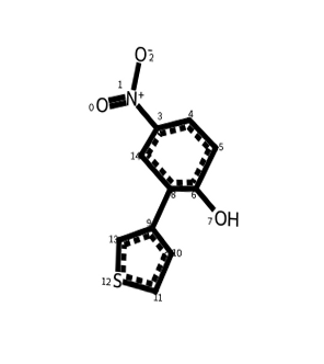 O=[N+]([O-])c1ccc(O)c(-c2ccsc2)c1